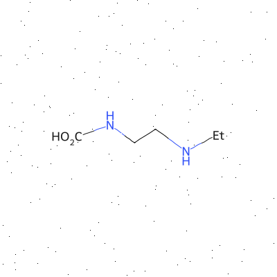 CCNCCNC(=O)O